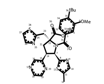 COc1cc(C(=O)N2[C@@H](c3ncc(C)s3)[C@@H](c3cnccn3)C[C@@]2(Cc2nccs2)C(=O)OC(C)(C)C)ccc1C(C)(C)C